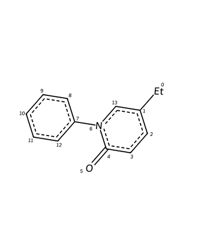 CCc1ccc(=O)n(-c2ccccc2)c1